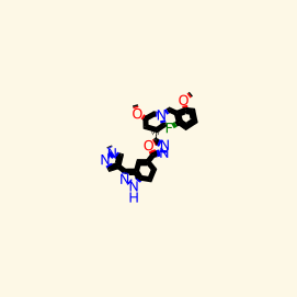 COc1cccc(F)c1CN1CC(OC)C[C@@H](c2nnc(C3=Cc4c(-c5cnn(C)c5)n[nH]c4CC3)o2)C1